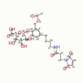 CC(=O)OCc1cc(CCCCNC(=O)CCN2C(=O)C=CC2=O)ccc1O[C@@H]1O[C@H](C(=O)O)[C@@H](O)[C@H](O)[C@H]1O